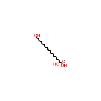 O=C(O)C(O)CCCCCCCC=CCCCCCCCO